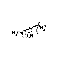 CC(C)=CCC/C(C)=C/CC/C(C)=C/[C@H]1[C@@H](C)[C@@H]1C(=O)O